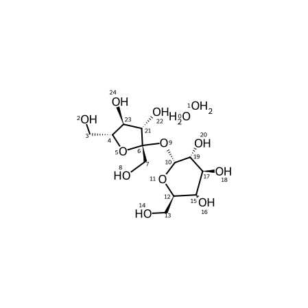 O.O.OC[C@H]1O[C@@](CO)(O[C@H]2O[C@H](CO)[C@@H](O)[C@H](O)[C@H]2O)[C@@H](O)[C@@H]1O